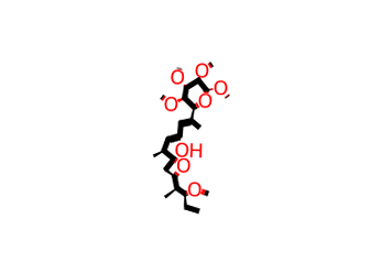 CC[C@H](OC)[C@@H](C)[C@H]1C[C@@](O)([C@@H](C)/C=C/C=C(\C)[C@@H]2O[C@@H](OC)[C@H](OC)[C@@H](OC)[C@@H]2OC)O1